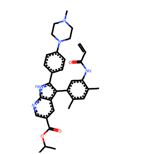 C=CC(=O)Nc1cc(-c2c(-c3ccc(N4CCN(C)CC4)cc3)[nH]c3ncc(C(=O)OC(C)C)cc23)c(C)cc1C